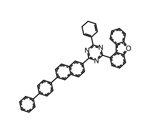 C1=CC(c2nc(-c3ccc4cc(-c5ccc(-c6ccccc6)cc5)ccc4c3)nc(-c3cccc4oc5ccccc5c34)n2)=CCC1